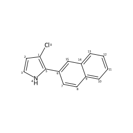 Clc1cc[nH]c1-c1ccc2ccccc2c1